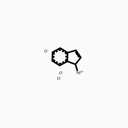 [Cl-].[Cl-].[Cl-].[Hf+3][CH]1C=Cc2ccccc21